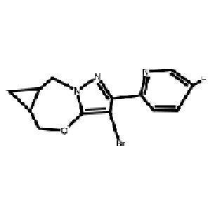 Fc1ccc(-c2nn3c(c2Br)OCC2CC2C3)nc1